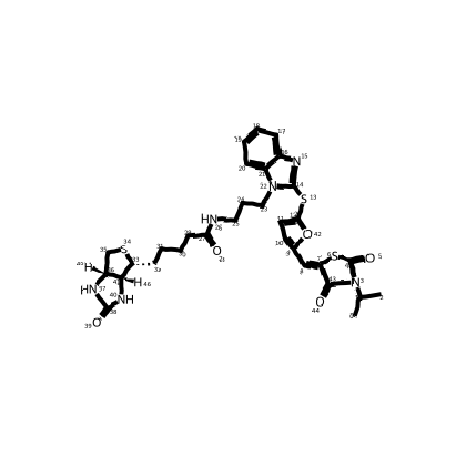 CC(C)N1C(=O)S/C(=C\c2ccc(Sc3nc4ccccc4n3CCCNC(=O)CCCC[C@H]3SC[C@H]4NC(=O)N[C@H]43)o2)C1=O